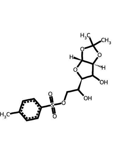 Cc1ccc(S(=O)(=O)OCC(O)[C@H]2O[C@@H]3OC(C)(C)O[C@H]3C2O)cc1